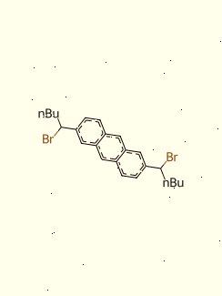 CCCCC(Br)c1ccc2cc3cc(C(Br)CCCC)ccc3cc2c1